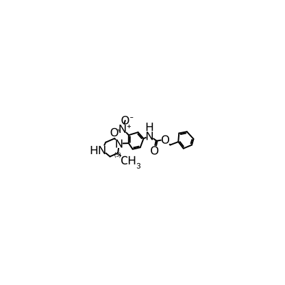 C[C@H]1CNCCN1c1ccc(NC(=O)OCc2ccccc2)cc1[N+](=O)[O-]